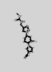 COC(=S)NCc1cn(-c2ccc(-n3ccc(C#N)c3)c(F)c2)nn1